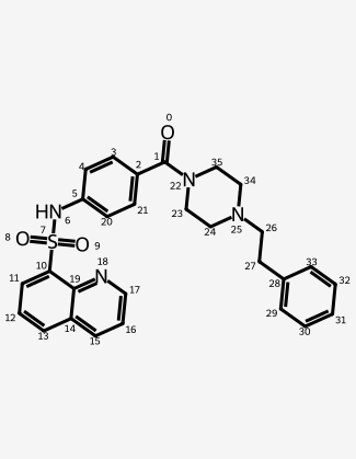 O=C(c1ccc(NS(=O)(=O)c2cccc3cccnc23)cc1)N1CCN(CCc2ccccc2)CC1